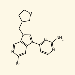 Nc1nccc(-c2cn(CC3CCOC3)c3cnc(Br)cc23)n1